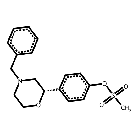 CS(=O)(=O)Oc1ccc([C@H]2CN(Cc3ccccc3)CCO2)cc1